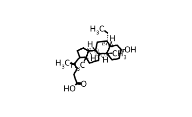 CC[C@H]1C[C@@H]2[C@H](CC[C@]3(C)C(C(C)CCC(=O)O)CC[C@@H]23)[C@@]2(C)CC[C@@H](O)C[C@@H]12